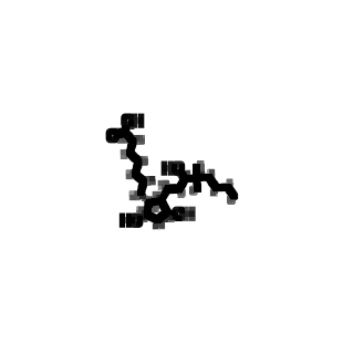 CCCCC(C)(C)C(O)C=C[C@@H]1[C@@H](CCCCCCC(=O)O)[C@@H](O)C[C@H]1O